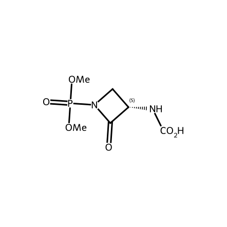 COP(=O)(OC)N1C[C@H](NC(=O)O)C1=O